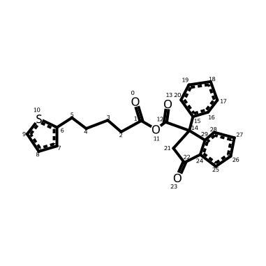 O=C(CCCCc1cccs1)OC(=O)C1(c2ccccc2)CC(=O)c2ccccc21